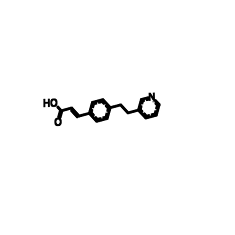 O=C(O)/C=C/c1ccc(CCc2cccnc2)cc1